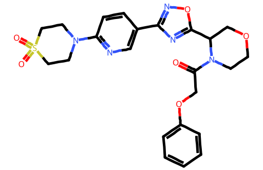 O=C(COc1ccccc1)N1CCOCC1c1nc(-c2ccc(N3CCS(=O)(=O)CC3)nc2)no1